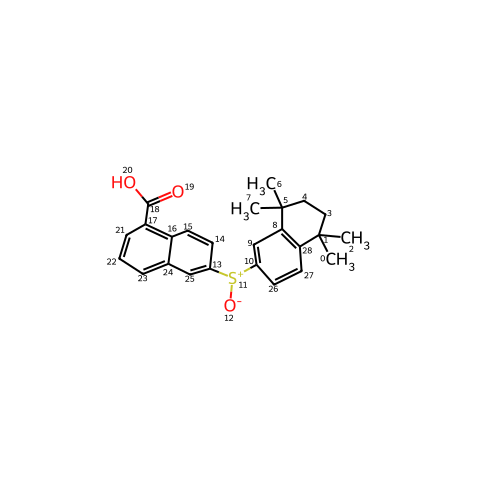 CC1(C)CCC(C)(C)c2cc([S+]([O-])c3ccc4c(C(=O)O)cccc4c3)ccc21